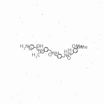 COc1ccc(CNC(=O)NCc2ccc(CNC(=O)Cc3cccc(C[C@@H](C)NC[C@H](O)c4ccc(N)nc4)c3)cc2)cc1OC